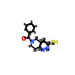 O=C(c1ccccc1)N1CCc2nnc(S)cc2C1